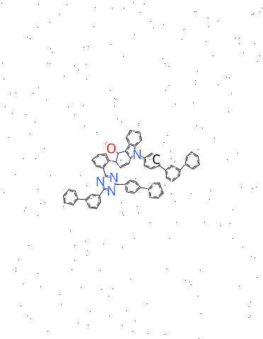 C1=CC2c3c(cccc3-c3nc(-c4ccc(-c5ccccc5)cc4)nc(-c4cccc(-c5ccccc5)c4)n3)OC2c2c1n(-c1ccc(-c3cccc(-c4ccccc4)c3)cc1)c1ccccc21